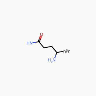 CCCC(N)CCC([NH])=O